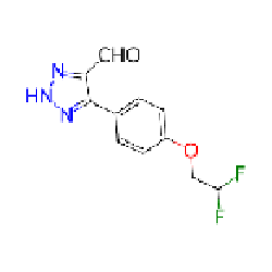 O=Cc1n[nH]nc1-c1ccc(OCC(F)F)cc1